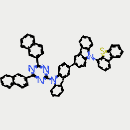 c1ccc2cc(-c3nc(-c4ccc5ccccc5c4)nc(-n4c5ccccc5c5cc(-c6ccc7c(c6)c6ccccc6n7-c6cccc7c6sc6ccccc67)ccc54)n3)ccc2c1